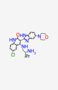 CC(C)[C@H](N)CNc1c(-c2nc3cc(N4CCOCC4)ccc3[nH]2)c(=O)[nH]c2ccc(Cl)cc12